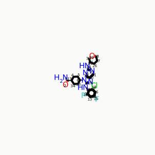 NC(=O)[C@H]1CC[C@@H](n2c(Nc3c(F)cc(F)cc3Cl)nc3cnc(N[C@@H]4CCCOC4)nc32)CC1